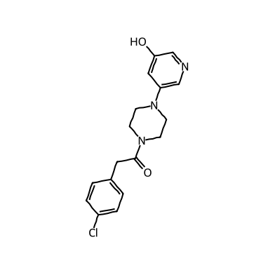 O=C(Cc1ccc(Cl)cc1)N1CCN(c2cncc(O)c2)CC1